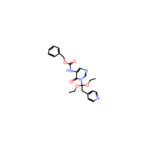 CCOC(Cc1ccncc1)(OCC)n1cncc(NC(=O)OCc2ccccc2)c1=O